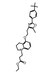 CCOC(=O)CCN1CCCc2c(OCCc3nc(-c4ccc(C(C)(C)C)cc4)oc3C)cccc21